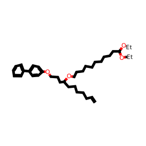 C=CCCCCCC(CCCOc1ccc(-c2ccccc2)cc1)OCCCCCCCCCCC(OCC)OCC